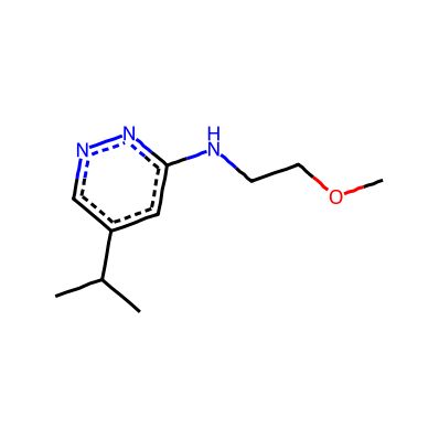 COCCNc1cc(C(C)C)cnn1